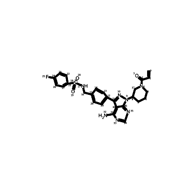 C=CC(=O)N1CCCC(n2nc(-c3ccc(CNS(=O)(=O)c4ccc(F)cc4)cc3)c3c(N)ncnc32)C1